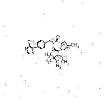 CN[C@H](C(=O)N1C[C@H](C)C[C@H]1C(=O)NCc1ccc(-c2scnc2C)cc1)C(C)(C)C